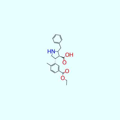 CCOC(=O)c1ccc(C)c([C@@H]2CNC(Cc3ccccc3)[C@H]2C(=O)O)c1